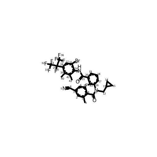 Cc1cc(C#N)ccc1C(=O)N(CC1CC1)c1cccc(C(=O)Nc2c(Br)cc(C(F)(C(F)(F)F)C(F)(F)F)c(C)c2C)c1F